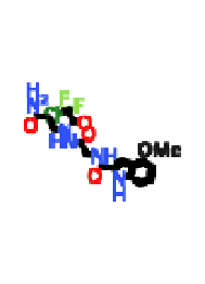 COc1cccc2[nH]c(C(=O)NCC(=O)NN(CCC(N)=O)C(=O)C(F)(F)Cl)cc12